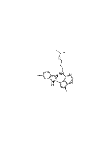 Cc1ccc2nc(-c3cn(C)c4ncnc(NCCCOC(C)C)c34)[nH]c2c1